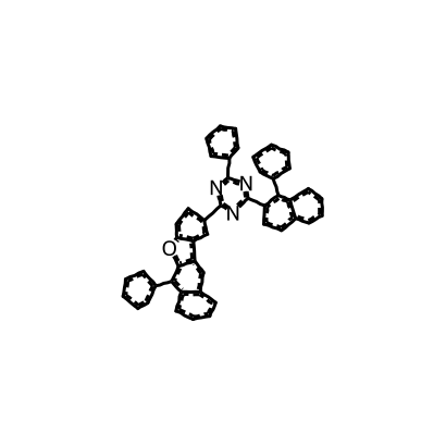 c1ccc(-c2nc(-c3ccc4oc5c(-c6ccccc6)c6ccccc6cc5c4c3)nc(-c3ccc4ccccc4c3-c3ccccc3)n2)cc1